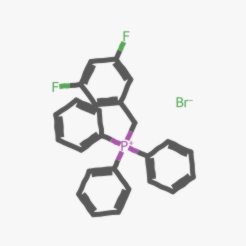 Fc1cc(F)cc(C[P+](c2ccccc2)(c2ccccc2)c2ccccc2)c1.[Br-]